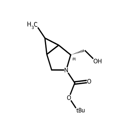 CC1C2CN(C(=O)OC(C)(C)C)[C@@H](CO)C12